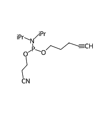 C#CCCCOP(OCCC#N)N(C(C)C)C(C)C